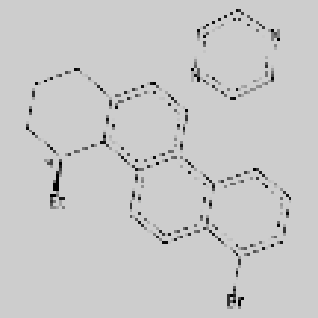 CC[C@H]1CCCc2ccc3c(ccc4c(Br)cccc43)c21.c1cnccn1